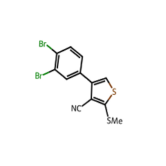 CSc1scc(-c2ccc(Br)c(Br)c2)c1C#N